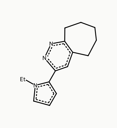 CCn1cccc1-c1cc2c(nn1)CCCCC2